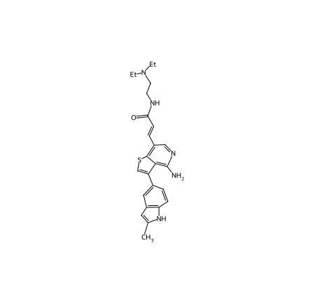 CCN(CC)CCNC(=O)C=Cc1cnc(N)c2c(-c3ccc4[nH]c(C)cc4c3)csc12